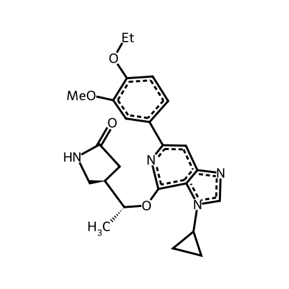 CCOc1ccc(-c2cc3ncn(C4CC4)c3c(O[C@H](C)[C@H]3CNC(=O)C3)n2)cc1OC